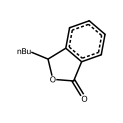 CCCCC1OC(=O)c2ccccc21